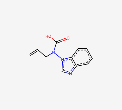 C=CCN(C(=O)O)n1cnc2ccccc21